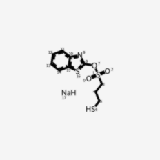 O=S(=O)(CCCS)Oc1nc2ccccc2s1.[NaH]